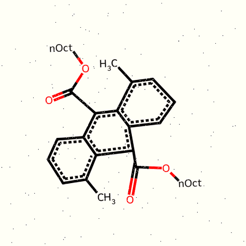 CCCCCCCCOC(=O)c1c2cccc(C)c2c(C(=O)OCCCCCCCC)c2cccc(C)c12